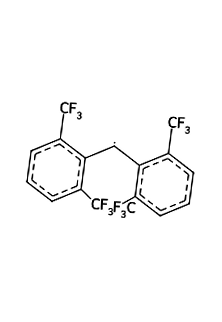 FC(F)(F)c1cccc(C(F)(F)F)c1[CH]c1c(C(F)(F)F)cccc1C(F)(F)F